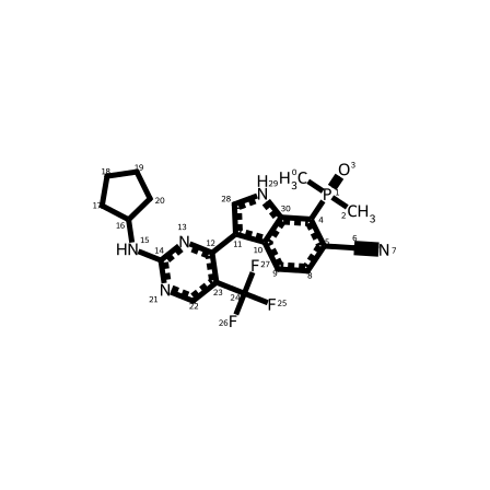 CP(C)(=O)c1c(C#N)ccc2c(-c3nc(NC4CCCC4)ncc3C(F)(F)F)c[nH]c12